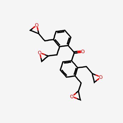 O=C(c1cccc(CC2CO2)c1CC1CO1)c1cccc(CC2CO2)c1CC1CO1